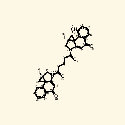 C[C@@H]1[C@@H]2CN(C(=O)CCCC(=O)N3C[C@H]4CC45C3=CC(=O)c3ccccc35)C3=CC(=O)c4ccccc4C312